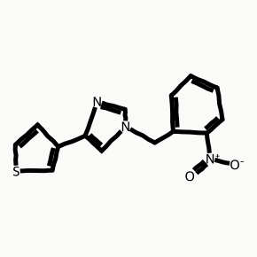 O=[N+]([O-])c1ccccc1Cn1cnc(-c2ccsc2)c1